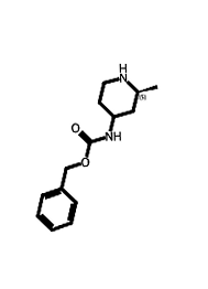 C[C@H]1CC(NC(=O)OCc2ccccc2)CCN1